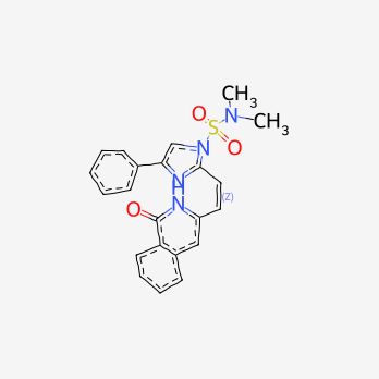 CN(C)S(=O)(=O)n1cc(-c2ccccc2)nc1/C=C\c1cc2ccccc2c(=O)[nH]1